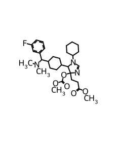 COC(=O)CCC1(OC(=O)OC)N=CN(C2CCCCC2)C1C1CCC(C(c2cccc(F)c2)N(C)C)CC1